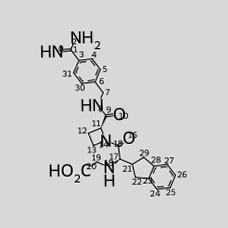 N=C(N)c1ccc(CNC(=O)[C@@H]2CCN2C(=O)[C@H](NCC(=O)O)C2Cc3ccccc3C2)cc1